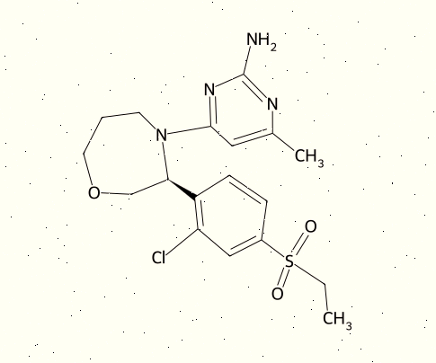 CCS(=O)(=O)c1ccc([C@H]2COCCCN2c2cc(C)nc(N)n2)c(Cl)c1